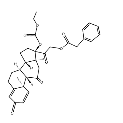 CCOC(=O)O[C@]1(C(=O)COC(=O)Cc2ccccc2)CC[C@H]2[C@@H]3CCC4=CC(=O)C=C[C@]4(C)[C@H]3C(=O)C[C@@]21C